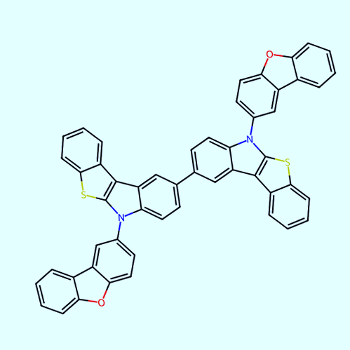 c1ccc2c(c1)oc1ccc(-n3c4ccc(-c5ccc6c(c5)c5c7ccccc7sc5n6-c5ccc6oc7ccccc7c6c5)cc4c4c5ccccc5sc43)cc12